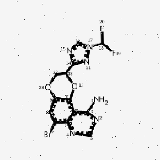 Nc1ncnc2c(Br)cc3c(c12)OC(c1ncn(C(F)F)n1)CO3